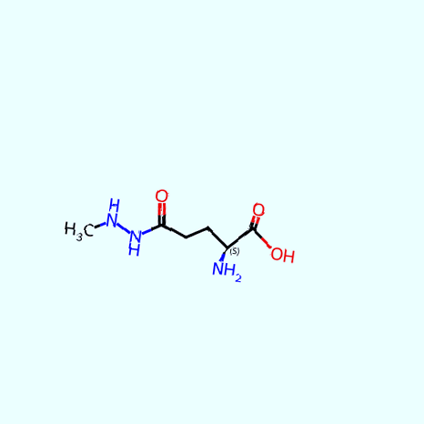 CNNC(=O)CC[C@H](N)C(=O)O